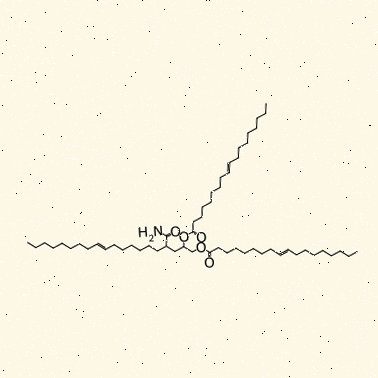 CCCCCCCCC=CCCCCCCCC(=O)OCC(CC(CCCCCCC=CCCCCCCCC)C(N)=O)OC(=O)CCCCCCCC=CCCCCCCCC